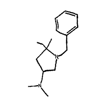 CN(C)C1CN(Cc2ccccc2)C(C)(C)C1